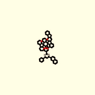 C1=CC2=C(CC1)C1(c3ccccc32)c2ccccc2C2(c3cc4c(cc3-c3cccc(-c5cccc(-c6nc(-c7ccccc7)cc(-c7ccc8ccccc8c7)n6)c5)c32)Cc2ccccc2-4)c2ccccc21